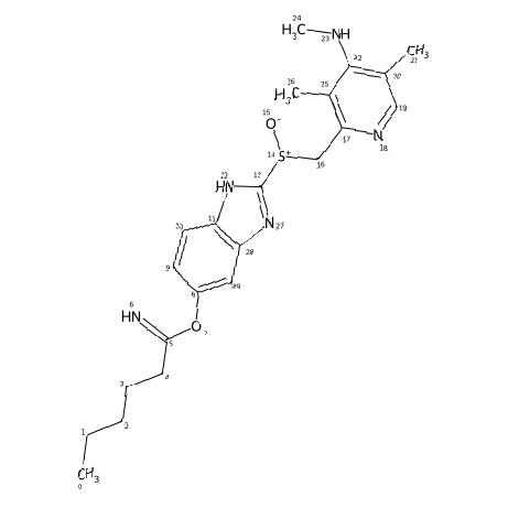 CCCCCC(=N)Oc1ccc2[nH]c([S+]([O-])Cc3ncc(C)c(NC)c3C)nc2c1